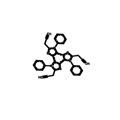 C#CCc1nc2c(c3nc(CC#C)n(-c4ccccc4)c3c3nc(CC#C)n(-c4ccccc4)c23)n1-c1ccccc1